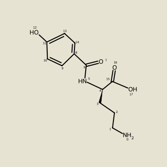 NCCC[C@@H](NC(=O)c1ccc(O)cc1)C(=O)O